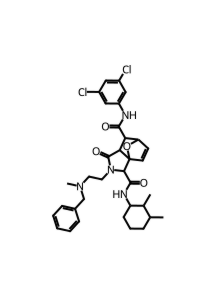 CC1CCCC(NC(=O)C2N(CCN(C)Cc3ccccc3)C(=O)C3C(C(=O)Nc4cc(Cl)cc(Cl)c4)C4C=CC32O4)C1C